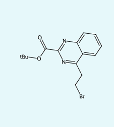 CC(C)(C)OC(=O)c1nc(CCBr)c2ccccc2n1